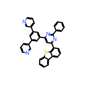 c1ccc(-c2nc(-c3cc(-c4cccnc4)cc(-c4cccnc4)c3)cc(-c3cccc4c3sc3ccccc34)n2)cc1